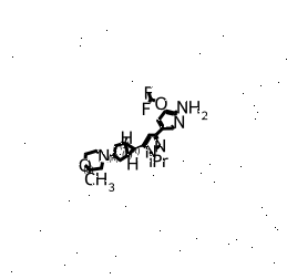 CC(C)n1nc(-c2cnc(N)c(OC(F)F)c2)cc1[C@H]1[C@@H]2C[C@H](N3CCO[C@@H](C)C3)C[C@@H]21